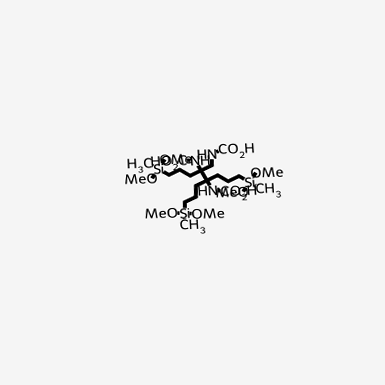 CO[Si](C)(CCCC(CCC[Si](C)(OC)OC)(NC(=O)O)C(CCC[Si](C)(OC)OC)(CNC(=O)O)NC(=O)O)OC